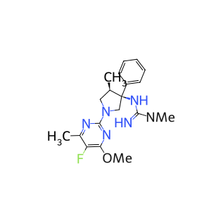 CNC(=N)N[C@@]1(c2ccccc2)CN(c2nc(C)c(F)c(OC)n2)C[C@H]1C